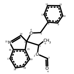 CC(OC=O)C1(OCc2ccccc2)C=Nc2ccccc21